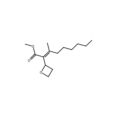 CCCCCCC(C)=C(C(=O)OC)C1CCO1